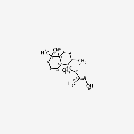 C=C1CC[C@H]2C(C)(C)CCC[C@]2(C)[C@H]1CC/C(C)=C/O